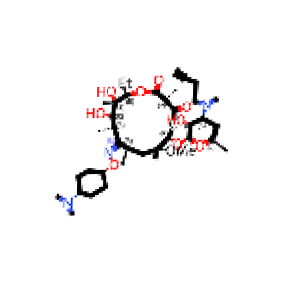 C#CCCN(C)[C@H]1C[C@@H](C)O[C@@H](O[C@@H]2CC(=O)[C@@H](C)C(=O)O[C@H](CC)[C@@](C)(O)[C@H](O)[C@@H](C)/C(=N/O[C@H]3CC[C@@H](N(C)C)CC3)[C@H](C)C[C@@]2(C)OC)[C@@H]1O